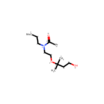 COCCN(CCOC(C)(C)CCO)C(=O)C(C)C